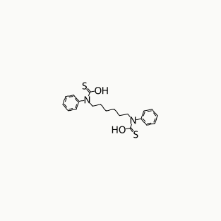 OC(=S)N(CCCCCCN(C(O)=S)c1ccccc1)c1ccccc1